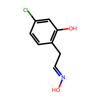 ON=CCc1ccc(Cl)cc1O